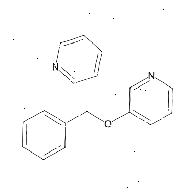 c1ccc(COc2cccnc2)cc1.c1ccncc1